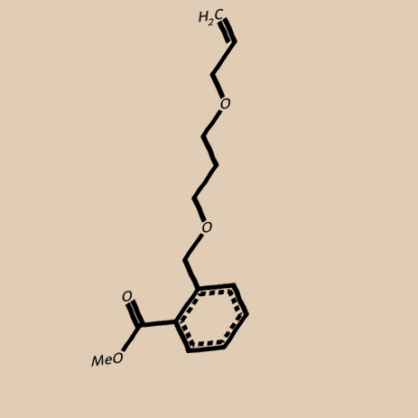 C=CCOCCCOCc1ccccc1C(=O)OC